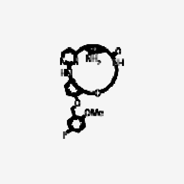 COc1ccc(F)cc1COc1ccc2cc1COCCCCNC(=O)c1ccc(c(N)c1)-c1ccnc(n1)N2